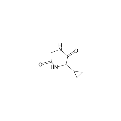 O=C1CNC(=O)C(C2CC2)N1